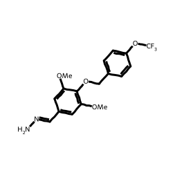 COc1cc(C=NN)cc(OC)c1OCc1ccc(OC(F)(F)F)cc1